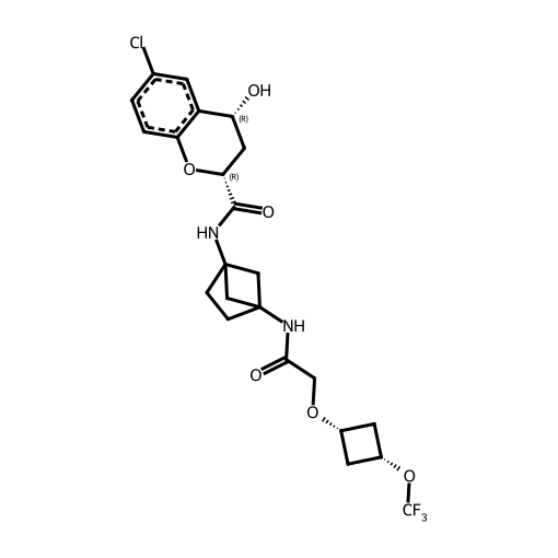 O=C(CO[C@H]1C[C@@H](OC(F)(F)F)C1)NC12CCC(NC(=O)[C@H]3C[C@@H](O)c4cc(Cl)ccc4O3)(C1)C2